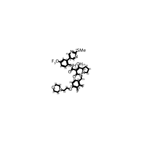 CSc1ncc(-c2cc(C(F)(F)F)ccc2NC(=O)C2=C(O)[C@@]3(C)CCCN3N(Cc3ccc(OCCN4CCOCC4)c(F)c3F)C2=O)cn1